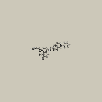 C#CCOc1ccc(OCC(O)CN2CCN(c3ccccc3)CC2)c2c1NC(=O)CC2